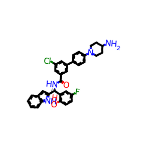 NC1CCN(c2ccc(-c3cc(Cl)cc(C(=O)N[C@@H](c4cc5ccccc5[nH]4)c4cc(F)ccc4O)c3)cc2)CC1